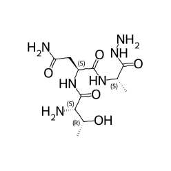 C[C@H](NC(=O)[C@H](CC(N)=O)NC(=O)[C@@H](N)[C@@H](C)O)C(=O)NN